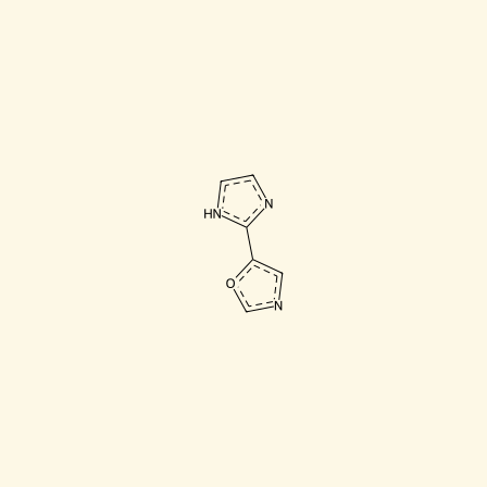 c1c[nH]c(-c2cnco2)n1